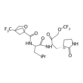 CC(C)CC(NC(=O)C12CC(C(F)(F)F)(CO1)C2)C(=O)NC(C[C@@H]1CCNC1=O)C(=O)COC(F)(F)F